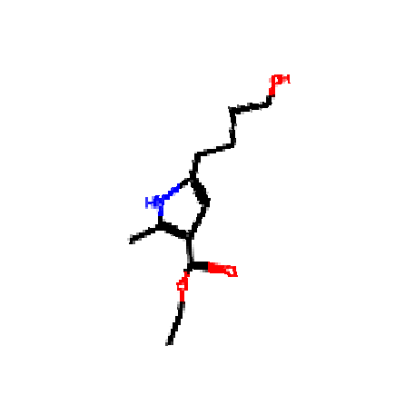 CCOC(=O)c1cc(CCCCO)[nH]c1C